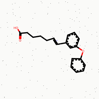 O=C(O)CCCC/C=C/c1cccc(Oc2c[c]ccc2)c1